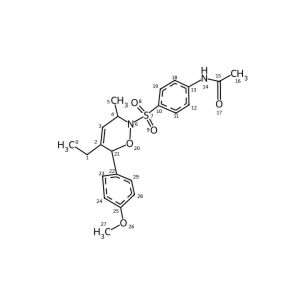 CCC1=CC(C)N(S(=O)(=O)c2ccc(NC(C)=O)cc2)OC1c1ccc(OC)cc1